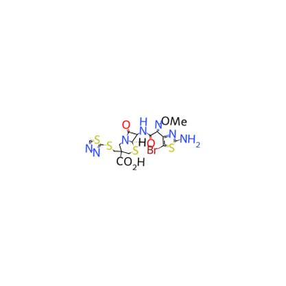 CON=C(C(=O)NC1C(=O)N2CC(CSc3nncs3)(C(=O)O)CS[C@H]12)c1nc(N)sc1Br